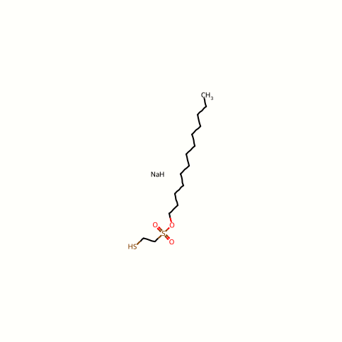 CCCCCCCCCCCCCOS(=O)(=O)CCS.[NaH]